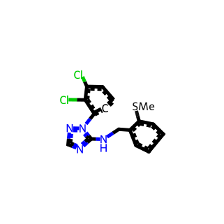 CSc1ccccc1CNc1ncnn1-c1cccc(Cl)c1Cl